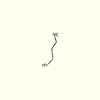 [C-]#[N+]CCCCCC